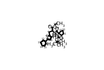 CCOC(=O)C(Cc1ccc(-c2ccccc2)s1)NC(=O)C1(NC(=O)OC(C)(C)C)CCCC1